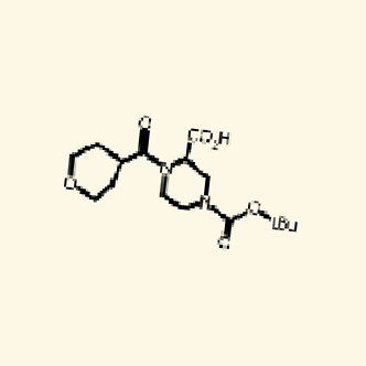 CC(C)(C)OC(=O)N1CCN(C(=O)C2CCOCC2)C(C(=O)O)C1